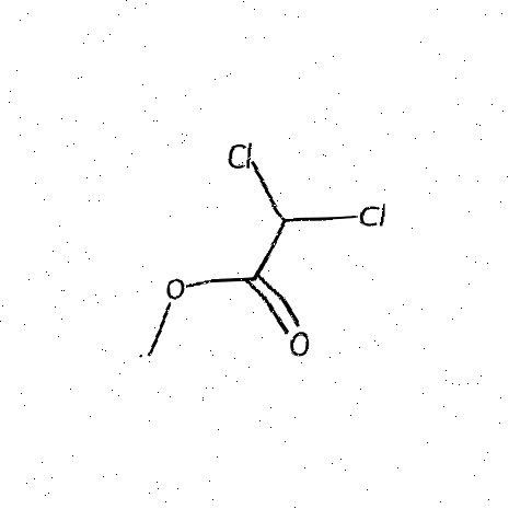 [CH2]OC(=O)C(Cl)Cl